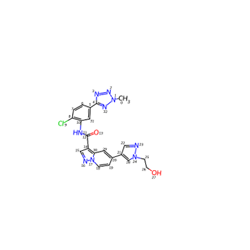 Cn1nnc(-c2ccc(Cl)c(NC(=O)c3cnn4ccc(-c5cnn(CCO)c5)cc34)c2)n1